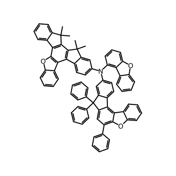 CC1(C)c2ccccc2-c2c1c1c(c3c2oc2ccccc23)-c2ccc(N(c3ccc4c(c3)C(c3ccccc3)(c3ccccc3)c3cc(-c5ccccc5)c5oc6ccccc6c5c3-4)c3cccc4oc5ccccc5c34)cc2C1(C)C